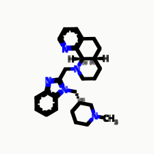 CN1CCC[C@H](Cn2c(CN3CCC[C@H]4CCc5cccnc5[C@H]43)nc3ccccc32)C1